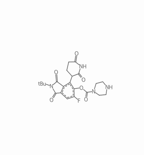 CC(C)(C)N1C(=O)c2cc(F)c(OC(=O)N3CCNCC3)c(C3CCC(=O)NC3=O)c2C1=O